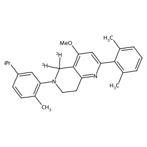 [2H]C1([2H])c2c(OC)cc(-c3c(C)cccc3C)nc2CCN1c1cc(C(C)C)ccc1C